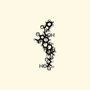 CC(C)C1=C2[C@H]3CC[C@@H]4[C@@]5(C)CC[C@H](OC(=O)CC(C)(C)C(=O)O)C(C)(C)[C@H]5CC[C@@]4(C)[C@]3(C)CCC2(C(O)CN2Cc3ccccc3C2=O)CC1=O